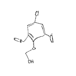 OCOc1c(Cl)cc(Cl)cc1Cl